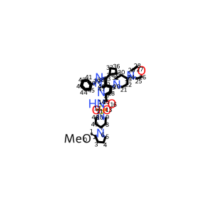 COC[C@@H]1CCCN1C1CCN(S(=O)(=O)NC(=O)c2cc(N3CCC(N4CCOCC4)CC3)c3c(C4CCC4)nn(-c4ccccc4)c3n2)CC1